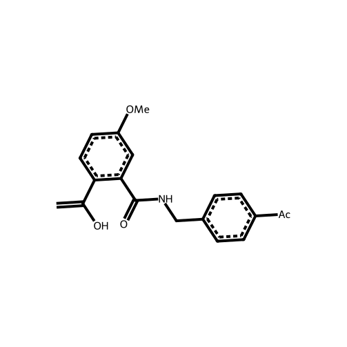 C=C(O)c1ccc(OC)cc1C(=O)NCc1ccc(C(C)=O)cc1